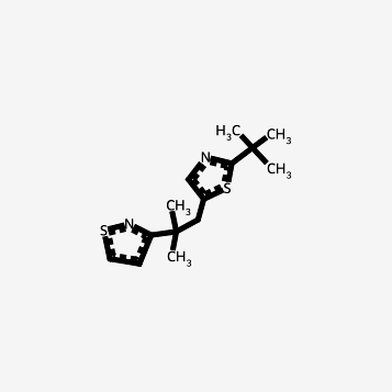 CC(C)(C)c1ncc(CC(C)(C)c2ccsn2)s1